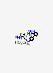 CC(CCCN(Cc1ccc(-c2ccccc2-c2nnn[nH]2)cc1)[C@H](C(=O)O)C(C)C)N=[N+]=[N-]